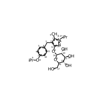 Cc1c(Cc2ccc(OC(C)C)cc2)c(O[C@@H]2OC(CO)[C@@H](O)[C@H](O)[C@H]2O)nn1C(C)C